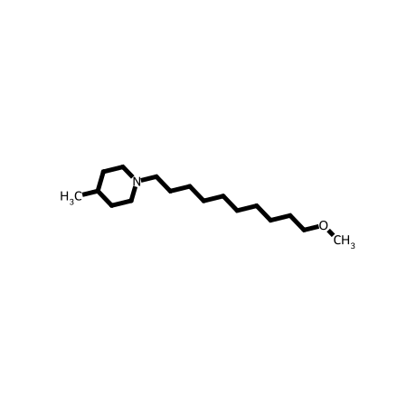 COCCCCCCCCCCN1CCC(C)CC1